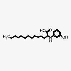 CCCCCCCCCCCCC(Nc1cccc(O)c1)C(=O)O